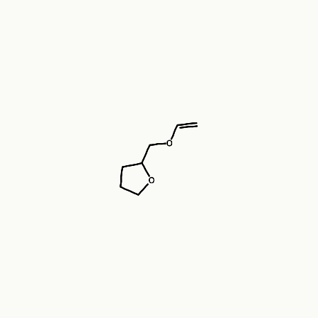 C=COCC1CCCO1